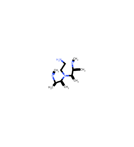 C=NC(=C)C(=C)N(CCN)C(=C)C(=C)N=C